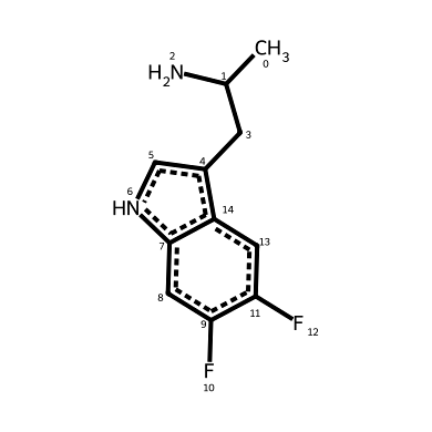 CC(N)Cc1c[nH]c2cc(F)c(F)cc12